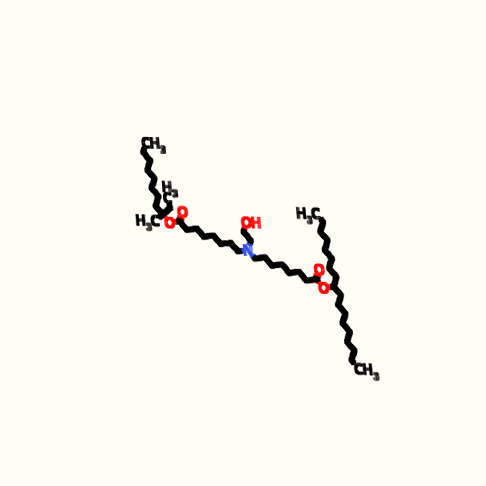 CCCCCCCCCC(CCCCCCCC)OC(=O)CCCCCCCN(CCO)CCCCCCCC(=O)OC(C)(CC)CCCCCCCC